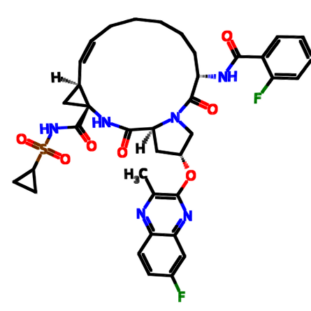 Cc1nc2ccc(F)cc2nc1O[C@@H]1C[C@H]2C(=O)N[C@]3(C(=O)NS(=O)(=O)C4CC4)C[C@H]3C=CCCCCC[C@H](NC(=O)c3ccccc3F)C(=O)N2C1